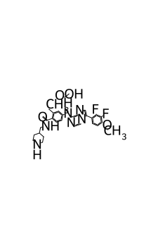 CCc1cc(Nc2nccn3c(-c4ccc(OC)c(F)c4F)cnc23)ccc1C(=O)NCC1CCNCC1.O=CO